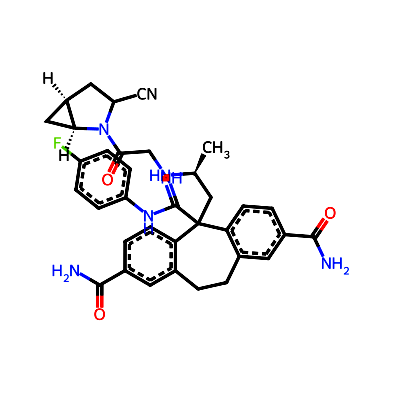 C[C@@H](CC1(C(=N)Nc2ccc(F)cc2)c2ccc(C(N)=O)cc2CCc2cc(C(N)=O)ccc21)NCC(=O)N1C(C#N)C[C@@H]2C[C@@H]21